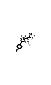 CC(C)(C(N)=O)c1noc(-c2ccc(F)cc2)n1